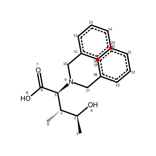 C[C@@H]([C@H](C)O)[C@@H](C(=O)O)N(Cc1ccccc1)Cc1ccccc1